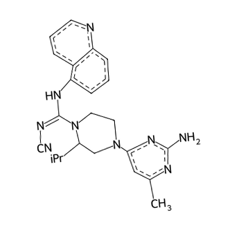 Cc1cc(N2CCN(/C(=N\C#N)Nc3cccc4ncccc34)C(C(C)C)C2)nc(N)n1